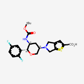 CC(C)(C)OC(=O)N[C@H]1C[C@@H](N2Cc3cc(C(=O)O)sc3C2)CO[C@@H]1c1cc(F)ccc1F